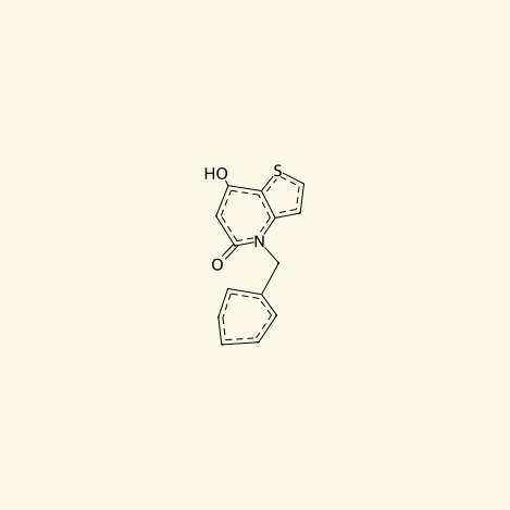 O=c1cc(O)c2sccc2n1Cc1ccccc1